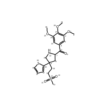 COc1cc(C(=O)C2CC(CCS(C)(=O)=O)(c3cccs3)CN2)cc(OC)c1OC